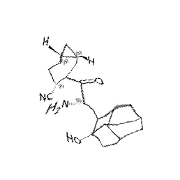 N#C[C@@H]1C[C@@H]2C[C@@H]2C1C(=O)[C@@H](N)C1C2CC3CC(C2)CC1(O)C3